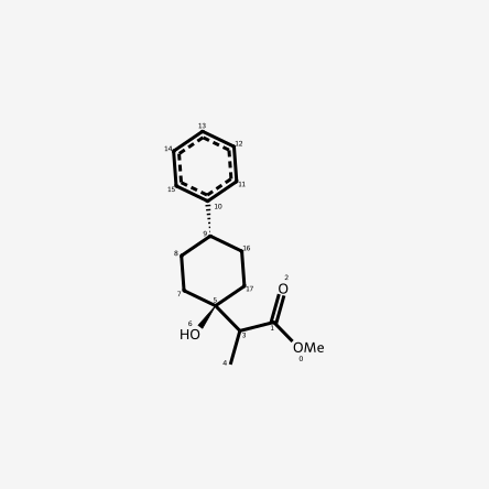 COC(=O)C(C)[C@]1(O)CC[C@H](c2ccccc2)CC1